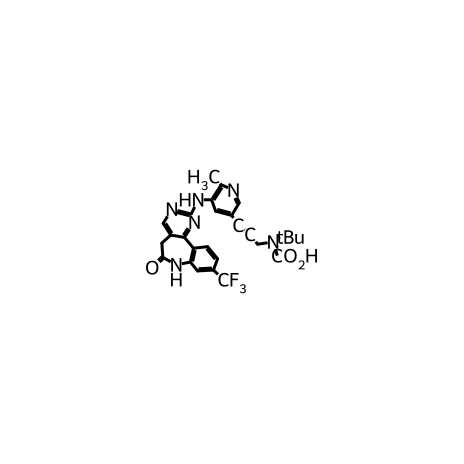 Cc1ncc(CCCN(C(=O)O)C(C)(C)C)cc1Nc1ncc2c(n1)-c1ccc(C(F)(F)F)cc1NC(=O)C2